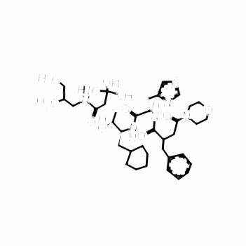 CCC(C)CNC(=O)[C@@H](C[C@H](O)[C@H](CC1CCCCC1)NC(=O)[C@H](Cc1cscn1)NC(=O)C(CC(=O)N1CCOCC1)Cc1ccccc1)C(C)(C)O